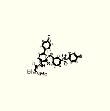 CC[C@H](NC)C(=O)Nc1ccc(-c2ccc(F)cc2)n(Cc2cccc(S(=O)(=O)c3ccc(F)cc3)c2)c1=O